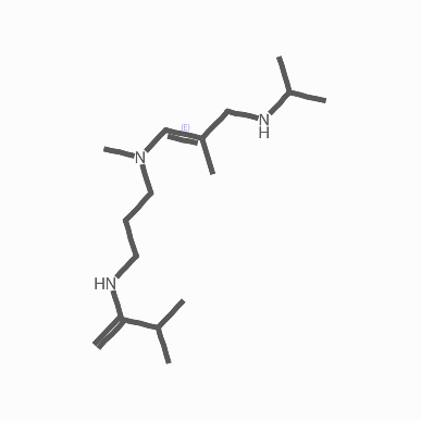 C=C(NCCCN(C)/C=C(\C)CNC(C)C)C(C)C